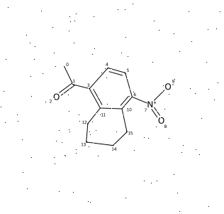 CC(=O)c1ccc([N+](=O)[O-])c2c1CCCC2